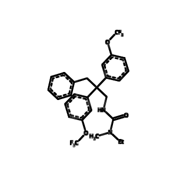 CCN(C)C(=O)NCC(Cc1ccccc1)(c1cccc(OC(F)(F)F)c1)c1cccc(OC(F)(F)F)c1